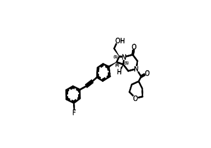 O=C(C1CCOCC1)N1CC(=O)N2[C@H](CO)[C@H](c3ccc(C#Cc4cccc(F)c4)cc3)[C@H]2C1